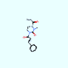 CNC(=O)CN(C)C(=O)N(C[C]=O)C(=O)/C=C/c1ccccc1